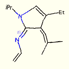 C=C/N=C1\C(=C(C)C)C(CC)=CN1C(C)C